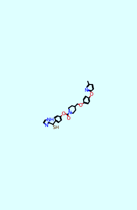 Cc1ccc(Oc2ccc(OCC3CCN(C(=O)Oc4ccc(C(S)c5ncc[nH]5)cc4)CC3)cc2)nc1